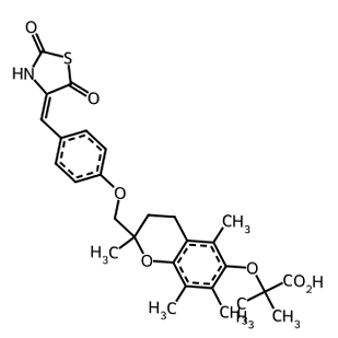 Cc1c(C)c2c(c(C)c1OC(C)(C)C(=O)O)CCC(C)(COc1ccc(C=C3NC(=O)SC3=O)cc1)O2